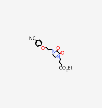 CCOC(=O)CCCN1CCN(CCCOc2ccc(C#N)cc2)C(=O)C1=O